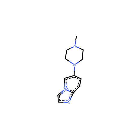 CN1CCN(c2ccc3nc[c]n3c2)CC1